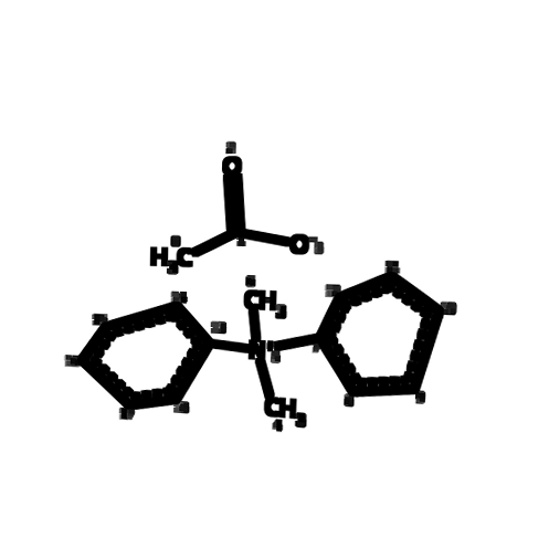 CC(=O)[O-].C[N+](C)(c1ccccc1)c1ccccc1